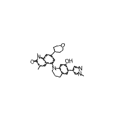 Cc1cc2c(N3CCCc4cc(-c5cnn(C)c5)c(O)cc43)cc(C3CCOCC3)cc2n(C)c1=O